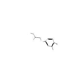 CCC(O)COc1ccc(Cl)c(Cl)c1